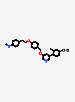 C=Nc1ccc(CCOc2ccc(COc3cncc(-c4ccc(C=O)cc4C)c3)cc2)cc1